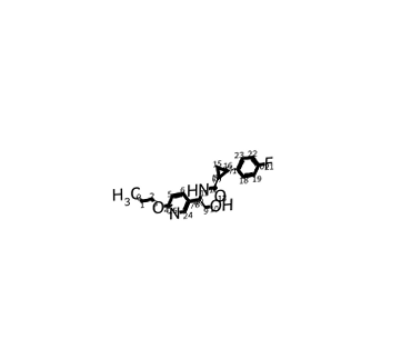 CCCOc1ccc([C@H](CO)NC(=O)[C@H]2C[C@@H]2c2ccc(F)cc2)cn1